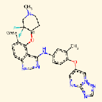 COc1ccc2ncnc(Nc3ccc(Oc4cnc5ncnn5c4)c(C)c3)c2c1O[C@@H]1CCN(C)CC1(F)F